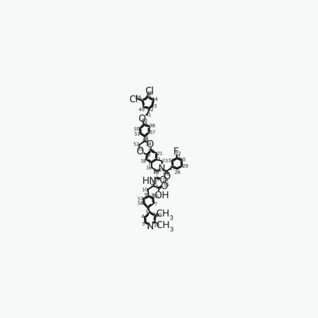 Cc1nccc(-c2ccc(CC(NC(=O)[C@@H]3Cc4cc5c(cc4CN3C(=O)c3cccc(F)c3)O[C@@H](c3ccc(OCc4ccc(Cl)c(Cl)c4)cc3)CO5)C(=O)O)cc2)c1C